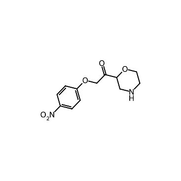 O=C(COc1ccc([N+](=O)[O-])cc1)C1CNCCO1